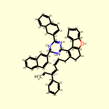 C=C/C(=C\C=C/CC1=C(c2nc(C3=CC=C4C=CC=CC4C3)nc(-c3ccc4ccccc4c3)n2)c2c(oc3ccccc23)CC1)c1ccccc1